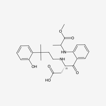 COC(=O)C(C)Nc1ccccc1C(=O)[C@H](CC(=O)O)NCCC(C)(C)c1ccccc1O